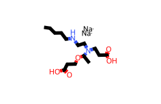 CCCCCNCCN(CCC(=O)O)C(C)OCCC(=O)O.[Na].[Na]